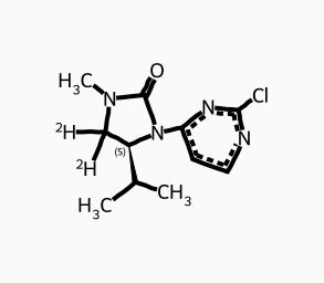 [2H]C1([2H])[C@H](C(C)C)N(c2ccnc(Cl)n2)C(=O)N1C